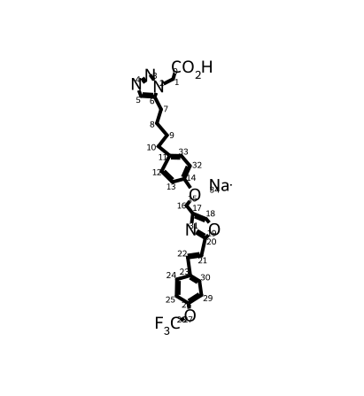 O=C(O)Cn1nncc1CCCCc1ccc(OCc2coc(C=Cc3ccc(OC(F)(F)F)cc3)n2)cc1.[Na]